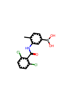 Cc1ccc(B(O)O)cc1NC(=O)c1c(Cl)cccc1Cl